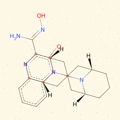 N/C(=N\O)c1nc2ccccc2n(C2C[C@H]3CCC[C@@H](C2)N3C2C[C@H]3CCC[C@@H](C2)C3)c1=O